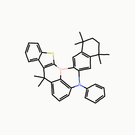 CC1(C)CCC(C)(C)c2cc3c(cc21)B1c2sc4ccccc4c2C(C)(C)c2cccc(c21)N3c1ccccc1